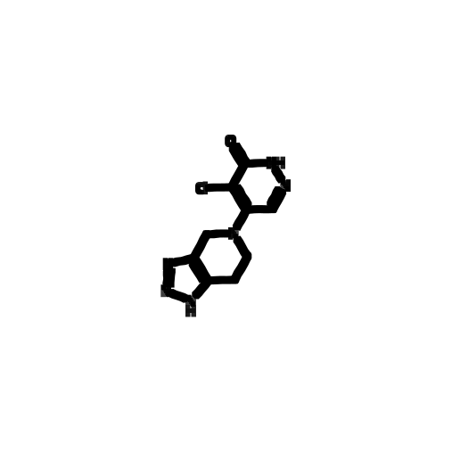 O=c1[nH]ncc(N2CCc3[nH]nnc3C2)c1Cl